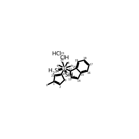 CC1=CC[C]([Ti]([CH3])([CH3])([CH3])([CH3])(=[SiH2])(=[SiH2])[CH]2C=Cc3ccccc32)=C1.Cl.Cl